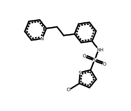 O=S(=O)(Nc1cccc(CCc2ccccn2)c1)c1ccc(Cl)s1